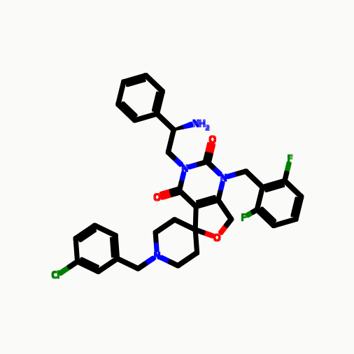 N[C@@H](Cn1c(=O)c2c(n(Cc3c(F)cccc3F)c1=O)COC21CCN(Cc2cccc(Cl)c2)CC1)c1ccccc1